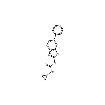 O=C(Nc1nc2cc(-c3cccnc3)ccc2[nH]1)NC1CC1